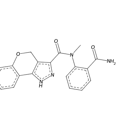 CN(C(=O)c1n[nH]c2c1COc1ccccc1-2)c1ccccc1C(N)=O